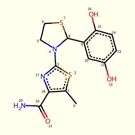 Cc1sc(N2CCSC2c2cc(O)ccc2O)nc1C(N)=O